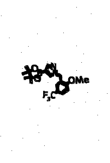 COc1ccc(C(F)(F)F)cc1Cn1cc(B2OC(C)(C)C(C)(C)O2)cn1